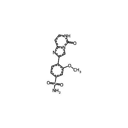 COc1cc(S(N)(=O)=O)ccc1-c1cn2c(=O)[nH]ccc2n1